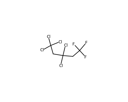 FC(F)(F)CC(Cl)(Cl)CC(Cl)(Cl)Cl